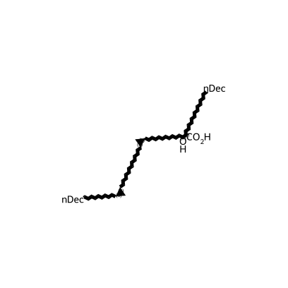 CCCCCCCCCCCCCCCCCCCCCCCC[C@@H](C(=O)O)[C@H](O)CCCCCCCCCCC[C@@H]1C[C@@H]1CCCCCCCCCCCCCC[C@@H]1C[C@@H]1CCCCCCCCCCCCCCCCCCCC